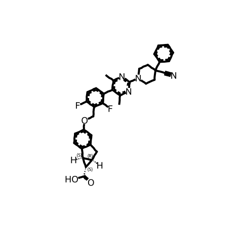 Cc1nc(N2CCC(C#N)(c3ccccc3)CC2)nc(C)c1-c1ccc(F)c(COc2ccc3c(c2)C[C@H]2[C@H](C(=O)O)[C@@H]32)c1F